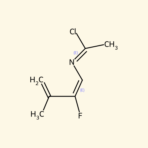 C=C(C)/C(F)=C\N=C(/C)Cl